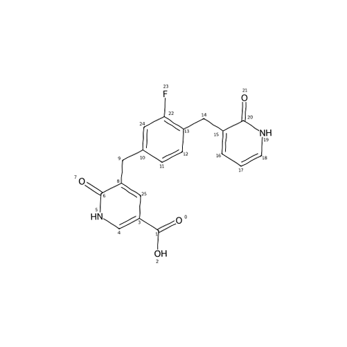 O=C(O)c1c[nH]c(=O)c(Cc2ccc(Cc3ccc[nH]c3=O)c(F)c2)c1